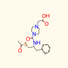 CC(=O)SCC(Cc1ccccc1)NC(=O)N1CCN(CC(=O)O)CC1